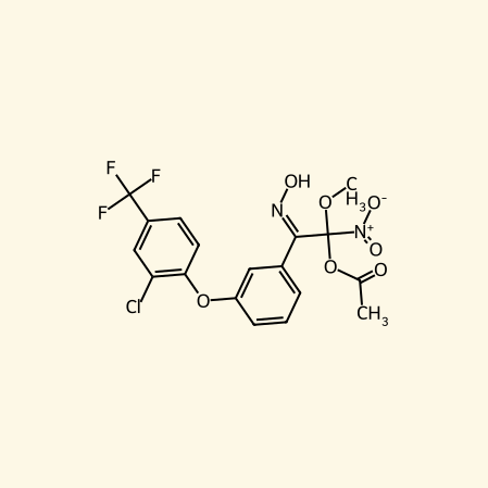 COC(OC(C)=O)(C(=NO)c1cccc(Oc2ccc(C(F)(F)F)cc2Cl)c1)[N+](=O)[O-]